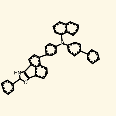 c1ccc(-c2ccc(N(c3ccc(-c4ccc5c6c(cccc46)C4=C5NC(c5ccccc5)O4)cc3)c3cccc4ccccc34)cc2)cc1